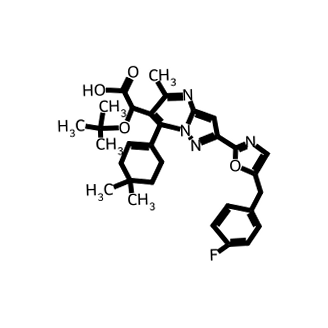 Cc1nc2cc(-c3ncc(Cc4ccc(F)cc4)o3)nn2c(C2=CCC(C)(C)CC2)c1C(OC(C)(C)C)C(=O)O